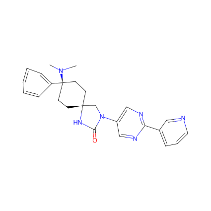 CN(C)[C@]1(c2ccccc2)CC[C@@]2(CC1)CN(c1cnc(-c3cccnc3)nc1)C(=O)N2